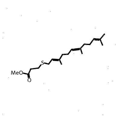 COC(=O)CCSC/C=C(\C)CC/C=C(\C)CCC=C(C)C